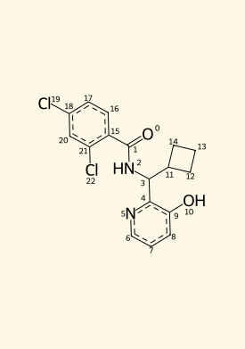 O=C(NC(c1ncccc1O)C1CCC1)c1ccc(Cl)cc1Cl